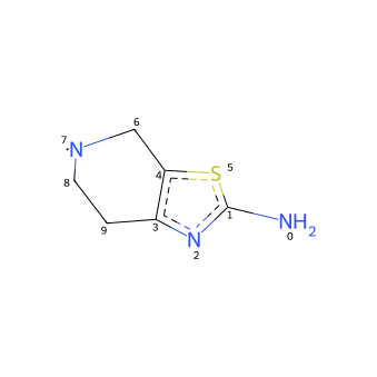 Nc1nc2c(s1)C[N]CC2